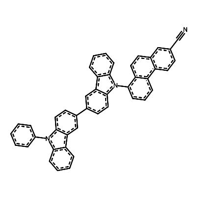 N#Cc1ccc2c(ccc3c(-n4c5ccccc5c5cc(-c6ccc7c(c6)c6ccccc6n7-c6ccccc6)ccc54)cccc32)c1